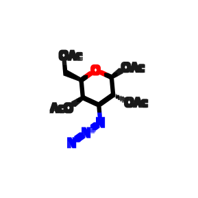 CC(=O)OC[C@H]1O[C@@H](OC(C)=O)[C@H](OC(C)=O)C(N=[N+]=[N-])[C@H]1OC(C)=O